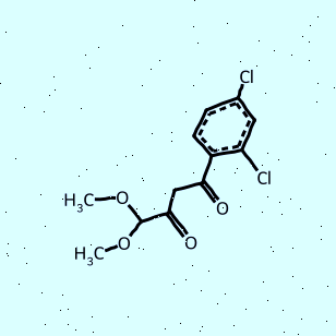 COC(OC)C(=O)CC(=O)c1ccc(Cl)cc1Cl